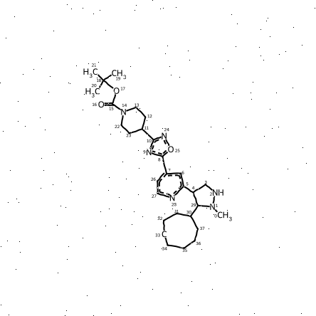 CN1NCC(c2cc(-c3nc(C4CCN(C(=O)OC(C)(C)C)CC4)no3)ccn2)C1C1CCCCCCC1